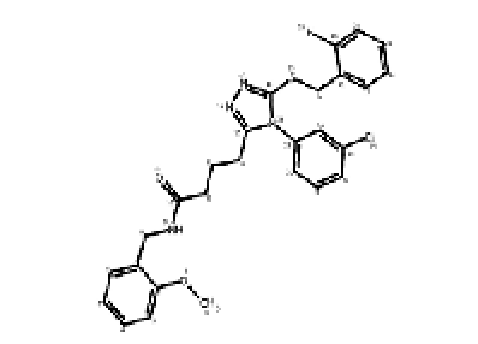 COc1ccccc1CNC(=O)CCCc1nnc(SCc2ccccc2F)n1-c1cccc(Cl)c1